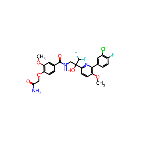 COc1cc(C(=O)NCC(O)(c2ccc(OC)c(-c3ccc(F)c(Cl)c3)n2)C(F)F)ccc1OCC(N)=O